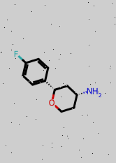 N[C@@H]1CCO[C@H](c2ccc(F)cc2)C1